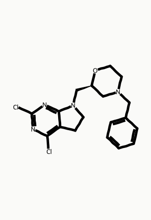 Clc1nc(Cl)c2c(n1)N(C[C@@H]1CN(Cc3ccccc3)CCO1)CC2